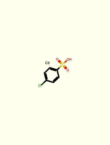 O=S(=O)(O)c1ccc(Cl)cc1.[Cd]